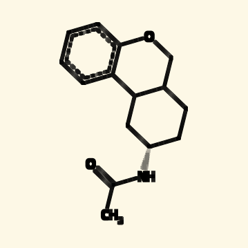 CC(=O)N[C@H]1CCC2COc3ccccc3C2C1